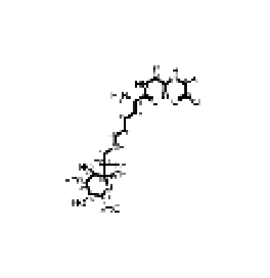 C[C@H](NC(=O)[C@H](C)NC(=O)[C@@H](N)CCCCNCC(F)(F)C1(O)O[C@H](CO)[C@H](O)[C@H](O)[C@H]1O)C(=O)O